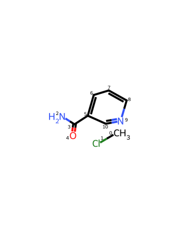 CCl.NC(=O)c1cccnc1